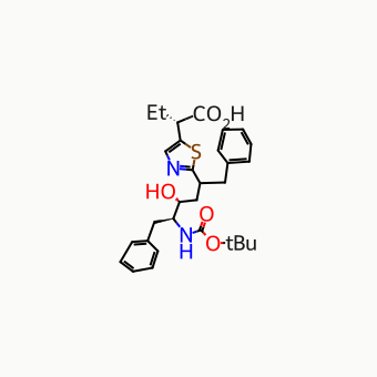 CC[C@H](C(=O)O)c1cnc(C(Cc2ccccc2)C[C@H](O)[C@H](Cc2ccccc2)NC(=O)OC(C)(C)C)s1